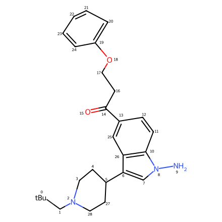 CC(C)(C)CN1CCC(c2cn(N)c3ccc(C(=O)CCOc4ccccc4)cc23)CC1